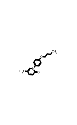 CCCCOc1ccc(-n2cc(C)ccc2=O)cc1